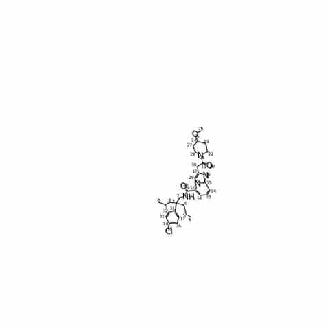 CCCC(CCC)(CNC(=O)c1cccc2nc(CC(=O)N3CCC(OC)CC3)cn12)c1ccc(Cl)cc1